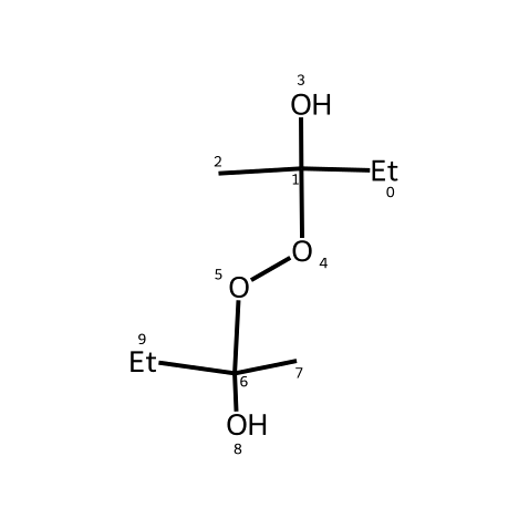 CCC(C)(O)OOC(C)(O)CC